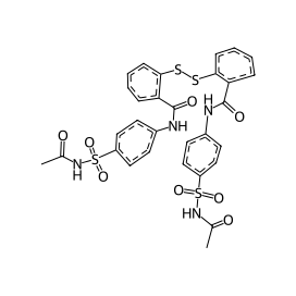 CC(=O)NS(=O)(=O)c1ccc(NC(=O)c2ccccc2SSc2ccccc2C(=O)Nc2ccc(S(=O)(=O)NC(C)=O)cc2)cc1